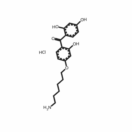 Cl.NCCCCCCOc1ccc(C(=O)c2ccc(O)cc2O)c(O)c1